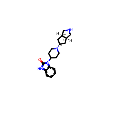 O=c1[nH]c2ccccc2n1C1CCN([C@@H]2C[C@H]3CNC[C@H]3C2)CC1